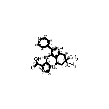 CC1(C)CC(=O)c2c([nH]c(-c3ccncc3)c2Nc2ccsc2C(=O)O)C1